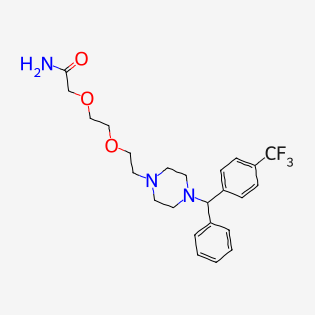 NC(=O)COCCOCCN1CCN(C(c2ccccc2)c2ccc(C(F)(F)F)cc2)CC1